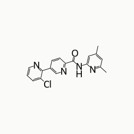 Cc1cc(C)nc(NC(=O)c2ccc(-c3ncccc3Cl)cn2)c1